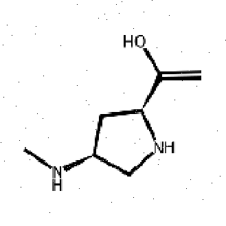 C=C(O)[C@@H]1C[C@H](NC)CN1